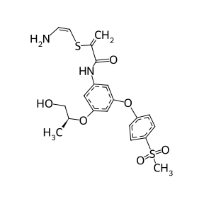 C=C(S/C=C\N)C(=O)Nc1cc(Oc2ccc(S(C)(=O)=O)cc2)cc(O[C@@H](C)CO)c1